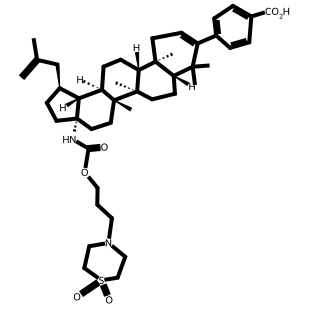 C=C(C)C[C@@H]1CC[C@]2(NC(=O)OCCCN3CCS(=O)(=O)CC3)CC[C@]3(C)[C@H](CC[C@@H]4[C@@]5(C)CC=C(c6ccc(C(=O)O)cc6)C(C)(C)[C@@H]5CC[C@]43C)[C@@H]12